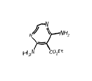 CCOC(=O)c1c(N)ncnc1N